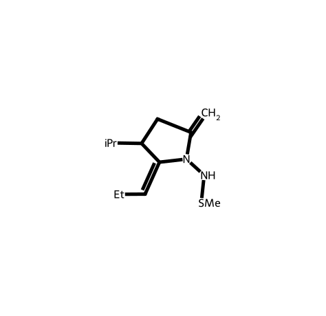 C=C1CC(C(C)C)/C(=C\CC)N1NSC